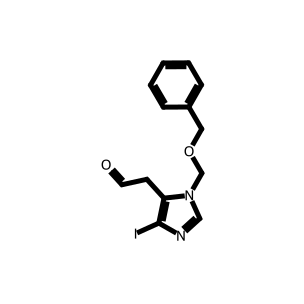 O=CCc1c(I)ncn1COCc1ccccc1